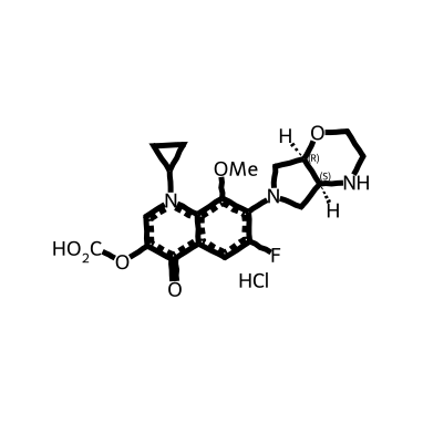 COc1c(N2C[C@@H]3NCCO[C@@H]3C2)c(F)cc2c(=O)c(OC(=O)O)cn(C3CC3)c12.Cl